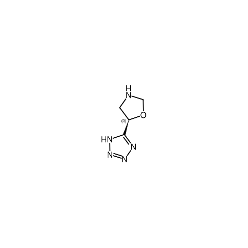 C1NC[C@H](c2nnn[nH]2)O1